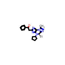 CC[C@@H]1c2nnc(C)n2-c2cnc(CC(=O)c3ccccc3)nc2N1C1CCCC1